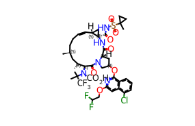 C[C@H]1CCC=C[C@@H]2C[C@@]2(C(=O)NS(=O)(=O)C2(C)CC2)NC(=O)[C@@H]2C[C@@H](Oc3nc(OCC(F)F)cc4c(Cl)cccc34)CN2C(=O)[C@@H](N(C(=O)O)C(C)(C)C(F)(F)F)[C@H](C)C1